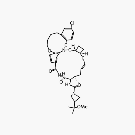 COC(C)(C)C1CN(C(=O)NC2[C@@H](C)C/C=C/C[C@@H]3CC[C@H]3CN3Cc4ccc(Cl)cc4CCCCOc4ccc(cc43)C(=O)/N=[SH]\2=O)C1